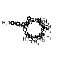 CCC(C)C1NC(=O)C2CCCN2C(=O)C(Cc2cccc(-c3ccc(N4CCN(C)CC4)cc3)c2)N(C)C(=O)C(Cc2ccccc2)NC(=O)[C@H](C)N(C)C(=O)C([C@H](C)CC)OC(=O)C(C(C)(C)O)N(C)C(=O)C(CC(C)C)NC(=O)[C@H](C)N(C)C1=O